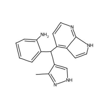 Cc1n[nH]cc1C(c1ccccc1N)c1ccnc2[nH]ccc12